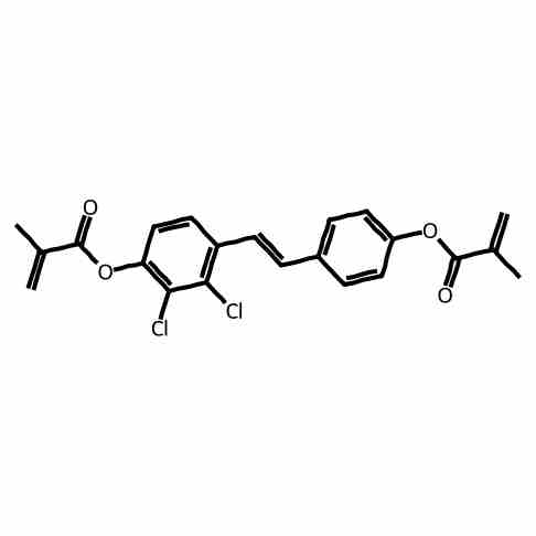 C=C(C)C(=O)Oc1ccc(C=Cc2ccc(OC(=O)C(=C)C)c(Cl)c2Cl)cc1